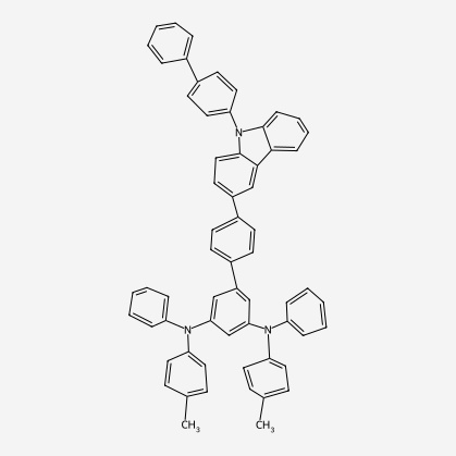 Cc1ccc(N(c2ccccc2)c2cc(-c3ccc(-c4ccc5c(c4)c4ccccc4n5-c4ccc(-c5ccccc5)cc4)cc3)cc(N(c3ccccc3)c3ccc(C)cc3)c2)cc1